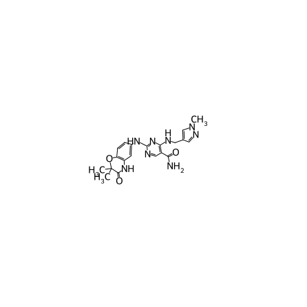 Cn1cc(CNc2nc(Nc3ccc4c(c3)NC(=O)C(C)(C)O4)ncc2C(N)=O)cn1